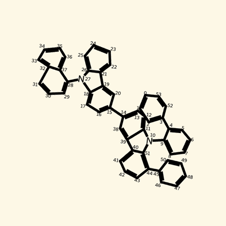 c1ccc(-c2ccccc2-n2c3ccc(-c4ccc5c(c4)c4ccccc4n5-c4cccc5ccccc45)cc3c3cccc(-c4ccccc4)c32)cc1